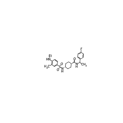 CCNc1ccc(S(=O)(=O)N[C@H]2CC[C@H](C(=O)N[C@H](C)c3ccc(F)cc3)CC2)cc1C